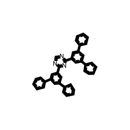 c1ccc(-c2cc(-c3ccccc3)cc(-c3ncnc(-c4cc(-c5ccccc5)cc(-c5ccccc5)c4)n3)c2)cc1